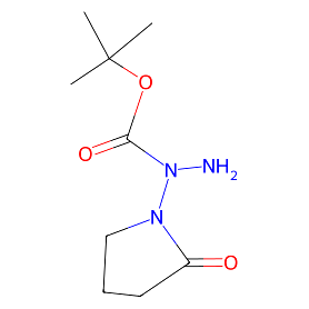 CC(C)(C)OC(=O)N(N)N1CCCC1=O